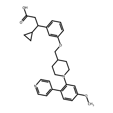 COc1ccc(-c2ccncc2)c(N2CCC(COc3cccc(C(CC(=O)O)C4CC4)c3)CC2)c1